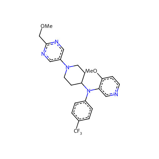 COCc1ncc(N2CCC(N(c3ccc(C(F)(F)F)cc3)c3cnccc3OC)CC2)cn1